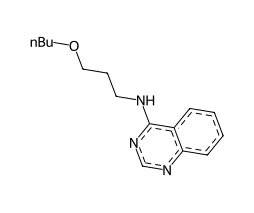 CCCCOCCCNc1ncnc2ccccc12